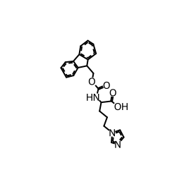 O=C(NC(CCCn1ccnc1)C(=O)O)OCC1c2ccccc2-c2ccccc21